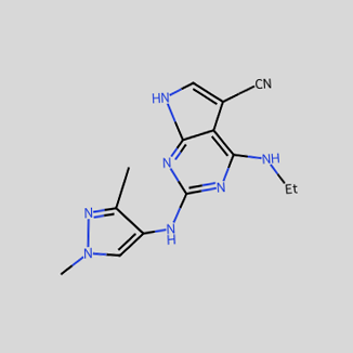 CCNc1nc(Nc2cn(C)nc2C)nc2[nH]cc(C#N)c12